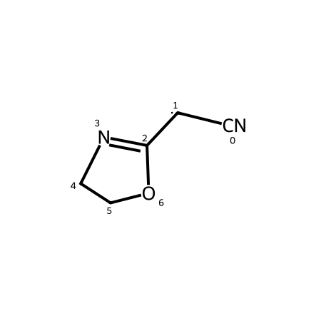 N#C[CH]C1=NCCO1